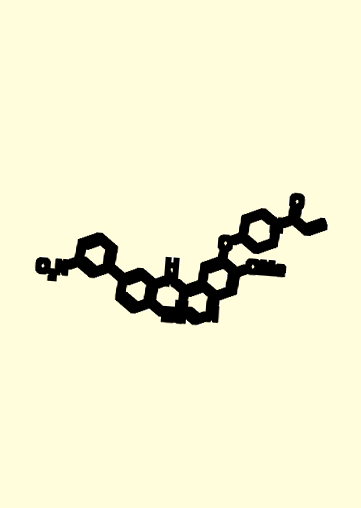 C=CC(=O)N1CCC(Oc2cc3c(Nc4cc(-c5cccc([N+](=O)[O-])c5)ccc4C(C)CC)ncnc3cc2OC)CC1